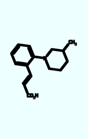 CC1CCCN(c2ccccc2/C=C/C(=O)O)C1